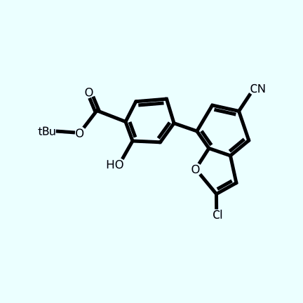 CC(C)(C)OC(=O)c1ccc(-c2cc(C#N)cc3cc(Cl)oc23)cc1O